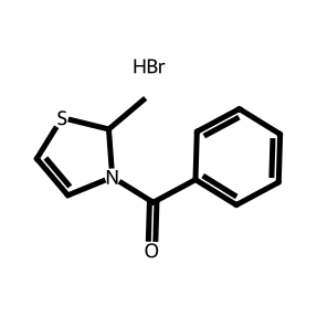 Br.CC1SC=CN1C(=O)c1ccccc1